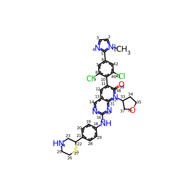 Cn1ccnc1-c1cc(Cl)c(-c2cc3cnc(Nc4ccc(C5CNCCS5)cc4)nc3n(C3CCOC3)c2=O)c(Cl)c1